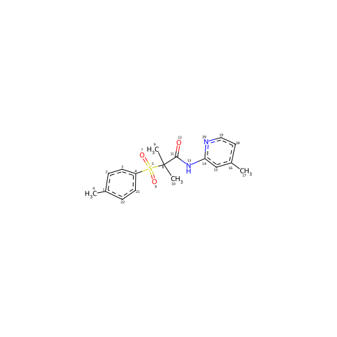 Cc1ccc(S(=O)(=O)C(C)(C)C(=O)Nc2cc(C)ccn2)cc1